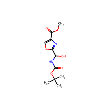 COC(=O)c1coc(C(O)NC(=O)OC(C)(C)C)n1